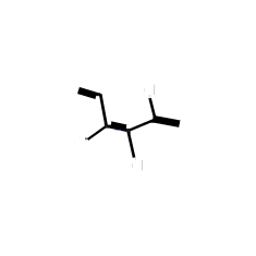 C=C/C(Cl)=C(/Cl)C(=C)Cl